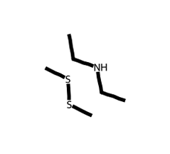 CCNCC.CSSC